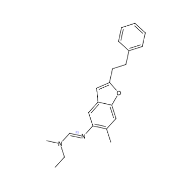 CCN(C)/C=N/c1cc2cc(CCc3ccccc3)oc2cc1C